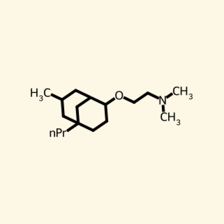 CCCC12CCC(OCCN(C)C)C(CC(C)C1)C2